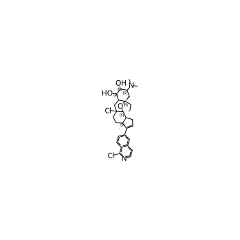 CN(C)[C@H]1C[C@@]23CC[C@]4(O2)C2CC=C(c5ccc6c(Cl)nccc6c5)[C@@]2(C)CCC4(Cl)CC3[C@@H](O)[C@@H]1O